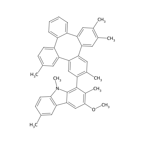 COc1cc2c3cc(C)ccc3n(C)c2c(-c2cc3c(cc2C)-c2cc(C)c(C)cc2-c2ccccc2-c2ccc(C)cc2-3)c1C